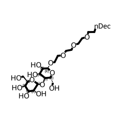 CCCCCCCCCCCCOCCOCCOCCO[C@@H]1O[C@H](CO)[C@@H](O[C@@H]2O[C@H](CO)[C@H](O)[C@H](O)[C@H]2O)[C@H](O)[C@H]1O